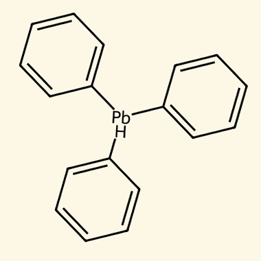 c1cc[c]([PbH]([c]2ccccc2)[c]2ccccc2)cc1